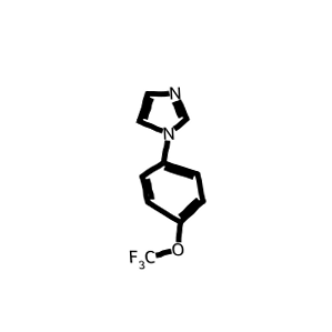 FC(F)(F)Oc1ccc(-n2ccnc2)cc1